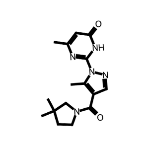 Cc1cc(=O)[nH]c(-n2ncc(C(=O)N3CCC(C)(C)C3)c2C)n1